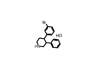 Brc1cccc(C2CCNCC2c2ccccc2)c1.Cl